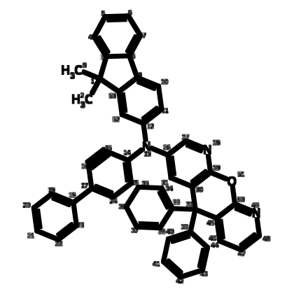 CC1(C)c2ccccc2-c2ccc(N(c3c#cc(-c4ccccc4)cc3)c3cnc4c(c3)C(C3=CCCC=C3)(c3ccccc3)c3cccnc3O4)cc21